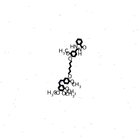 COc1cc(C2NC(=O)c3ccccc3N2)ccc1OCCCCCCOc1cc(/C=C\c2cc(OC)c(OC)c(OC)c2)ccc1OC